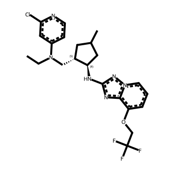 CCN(C[C@@H]1CC(C)C[C@H]1Nc1nc2c(OCC(F)(F)F)cccn2n1)c1ccnc(Cl)c1